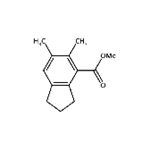 COC(=O)c1c(C)c(C)cc2c1CCC2